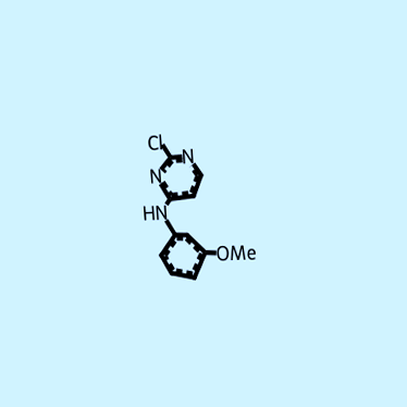 COc1cccc(Nc2ccnc(Cl)n2)c1